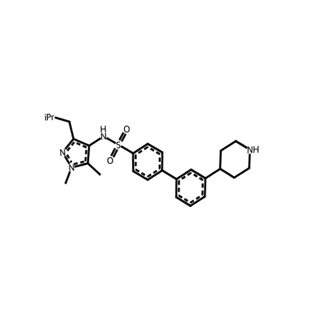 Cc1c(NS(=O)(=O)c2ccc(-c3cccc(C4CCNCC4)c3)cc2)c(CC(C)C)nn1C